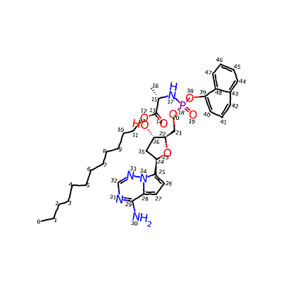 CCCCCCCCCCCCOC(=O)[C@H](C)NP(=O)(OC[C@H]1O[C@@H](c2ccc3c(N)ncnn23)C[C@@H]1O)Oc1cccc2ccccc12